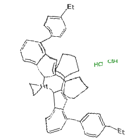 CCc1ccc(-c2cccc3c2C=C(C2CCCC2)[CH]3[Hf]2([CH]3C(C4CCCC4)=Cc4c(-c5ccc(CC)cc5)cccc43)[CH2][CH2]2)cc1.Cl.Cl